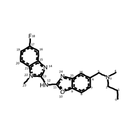 CCCN(C)Cc1ccc2oc(Nc3nc4cc(F)ccc4n3C)nc2c1